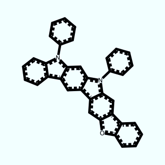 c1ccc(-n2c3ccccc3c3cc4c5cc6oc7ccccc7c6cc5n(-c5ccccc5)c4cc32)cc1